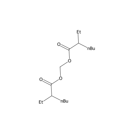 CCCCC(CC)C(=O)OCOC(=O)C(CC)CCCC